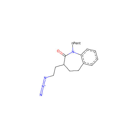 CCCCCN1C(=O)C(CCN=[N+]=[N-])CCc2ccccc21